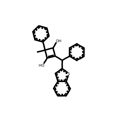 CC1(c2ccccc2)C(O)=C(C(c2ccccc2)c2cc3ccccc3s2)C1O